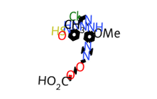 COc1cc(N2CCN(CCOCCOCC(=O)O)CC2)ccc1Nc1ncc(Cl)c(Nc2ccccc2N(C)[SH]=O)n1